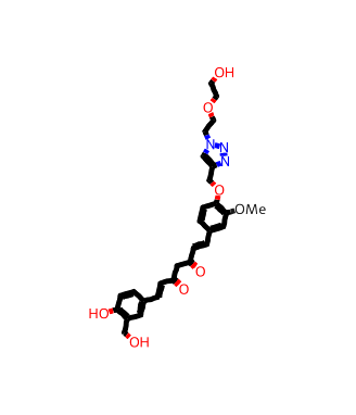 COc1cc(/C=C/C(=O)CC(=O)/C=C/c2ccc(O)c(CO)c2)ccc1OCc1cn(CCOCCO)nn1